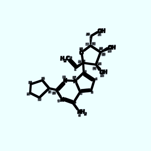 C=C[C@@]1(c2ccc3c(N)nc(C4CCCC4)nn23)O[C@H](CO)[C@@H](O)[C@H]1O